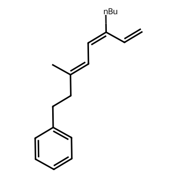 C=C/C(=C\C=C(/C)CCc1ccccc1)CCCC